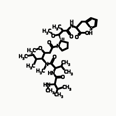 CCC(C)C(C(CC(=O)N1CCC[C@H]1C(OC)C(C)C(=O)NC(Cc1cccs1)C(=O)O)OC)N(C)C(=O)C(NC(=O)C(NC)C(C)C)C(C)C